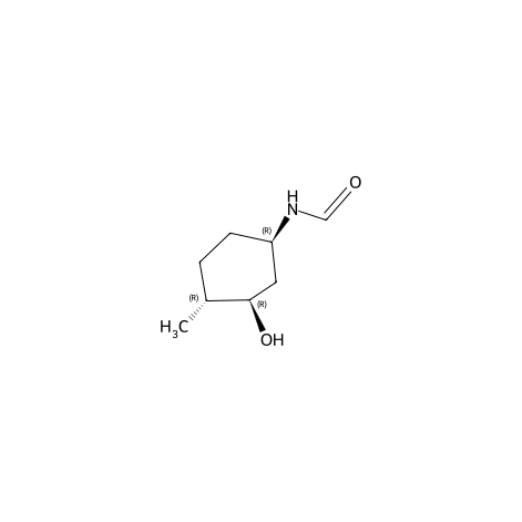 C[C@@H]1CC[C@@H](NC=O)C[C@H]1O